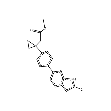 COC(=O)CC1(c2ccc(-c3ccc4cc(Cl)[nH]c4n3)cc2)CC1